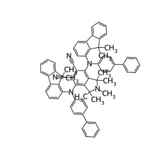 CN1C(C)(C)c2c(N(c3ccc(-c4ccccc4)cc3)c3cccc4c3C(C)(C)c3ccccc3-4)c(C#N)c(C#N)c(N(c3ccc(-c4ccccc4)cc3)c3cccc4c3C(C)(C)c3ccccc3-4)c2C1(C)C